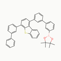 CC1(C)OB(c2cccc(-c3cccc(-c4ccc(-c5cccc(-c6ccccc6)c5)c5sc6ccccc6c45)c3)c2)OC1(C)C